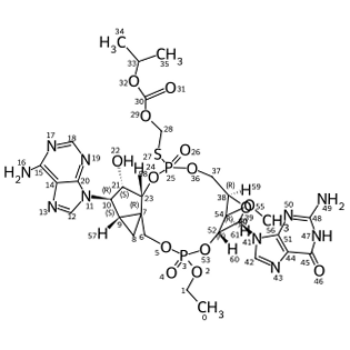 CCOP1(=O)OCC23C[C@@H]2[C@@H](n2cnc4c(N)ncnc42)[C@H](O)[C@@H]3OP(=O)(SCOC(=O)OC(C)C)OC[C@H]2O[C@@H](n3cnc4c(=O)[nH]c(N)nc43)[C@H](O1)[C@@H]2OC